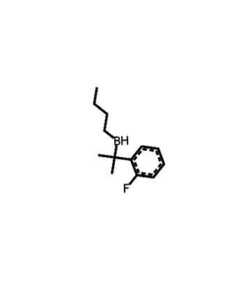 CCCCBC(C)(C)c1ccccc1F